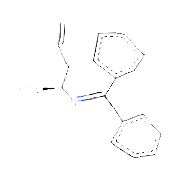 C=CC[C@@H](N=C(c1ccccc1)c1ccccc1)C(=O)O